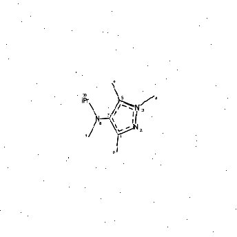 Cc1nn(C)c(C)c1N(C)C(C)C